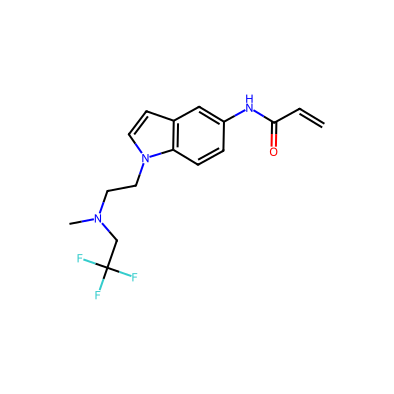 C=CC(=O)Nc1ccc2c(ccn2CCN(C)CC(F)(F)F)c1